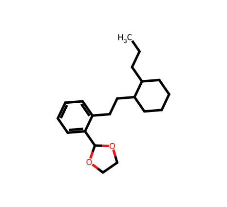 CCCC1CCCCC1CCc1ccccc1C1OCCO1